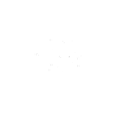 Cc1nc(C)c([C@H](OC(C)(C)C)C(=O)O)c(N2CCC(C)(C)CC2)c1-c1ccc2[nH]c(=O)cc(O)c2c1